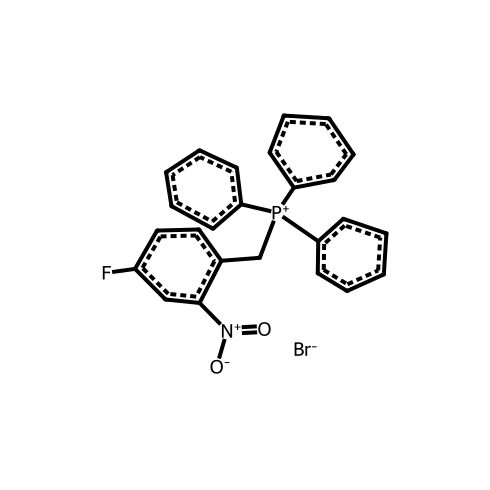 O=[N+]([O-])c1cc(F)ccc1C[P+](c1ccccc1)(c1ccccc1)c1ccccc1.[Br-]